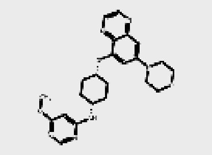 COc1cc(N[C@H]2CC[C@@H](Oc3cc(N4CCOCC4)cc4nccnc34)CC2)ncn1